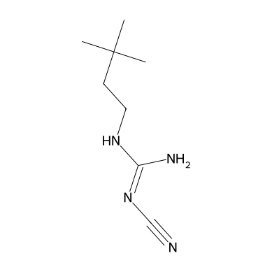 CC(C)(C)CCN/C(N)=N/C#N